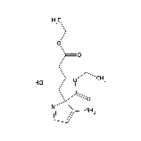 CCOC(=O)CCCC1(C(=O)OCC)N=CC=C1N.Cl